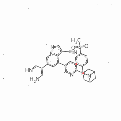 CS(=O)(=O)c1ccc(CN2C3CC2CN(c2ccc(-c4cc(/C(C=N)=C/N)cn5ncc(C#N)c45)cn2)C3)cc1